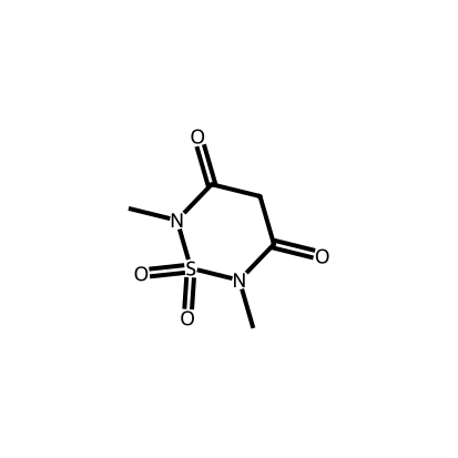 CN1C(=O)CC(=O)N(C)S1(=O)=O